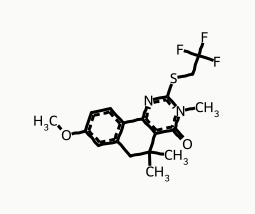 COc1ccc2c(c1)CC(C)(C)c1c-2nc(SCC(F)(F)F)n(C)c1=O